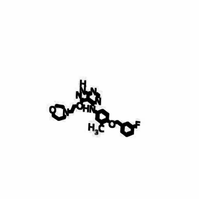 Cc1cc(Nc2ncnc3[nH]nc(OCCN4CCCOCC4)c23)ccc1OCc1cccc(F)c1